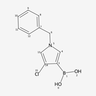 OB(O)c1cn(Cc2ccccc2)cc1Cl